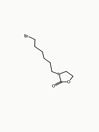 O=C1OCCN1CCCCCCBr